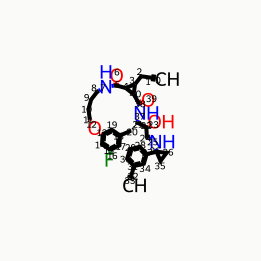 C#CCC1C2C(=O)NCCCCOc3cc(F)cc(c3)C[C@@H]([C@H](O)CNC3(c4cccc(C#C)c4)CC3)NC(=O)C12